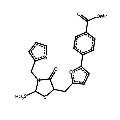 COC(=O)c1ccc(-c2ccc(CC3SC(S(=O)(=O)O)N(Cc4cccs4)C3=O)o2)cc1